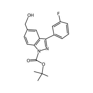 CC(C)(C)OC(=O)n1nc(-c2cccc(F)c2)c2cc(CO)ccc21